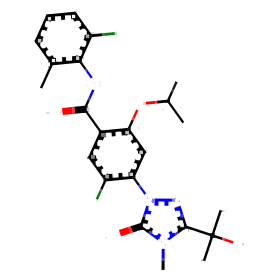 Cc1cccc(F)c1NC(=O)c1cc(F)c(-n2nc(C(C)(C)O)n(C)c2=O)cc1OC(C)C(F)(F)F